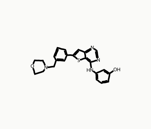 Oc1cccc(Nc2ncnc3cc(-c4cccc(CN5CCOCC5)c4)sc23)c1